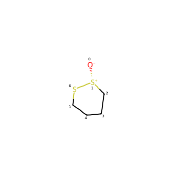 [O-][S@+]1CCCCS1